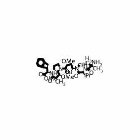 CC[C@H](C)[C@@H]([C@@H](CC(=O)N1CCC[C@H]1[C@H](OC)[C@@H](C)C(=O)N[C@@H](C(=O)OC)[C@@H]1Cc2ccccc21)OC)N(C)C(=O)[C@@H](NC(=O)C(C)(C)N)C(C)C